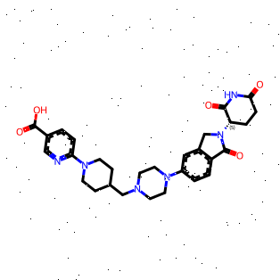 O=C1CC[C@H](N2Cc3cc(N4CCN(CC5CCN(c6ccc(C(=O)O)cn6)CC5)CC4)ccc3C2=O)C(=O)N1